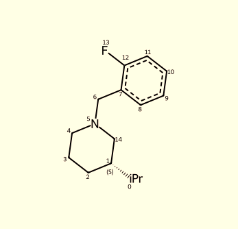 CC(C)[C@@H]1CCCN(Cc2ccccc2F)C1